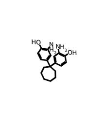 Nc1cc(C2(c3ccc(O)c(N)c3)CCCCCC2)ccc1O